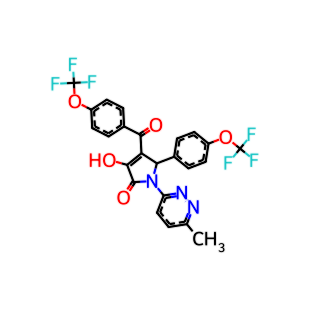 Cc1ccc(N2C(=O)C(O)=C(C(=O)c3ccc(OC(F)(F)F)cc3)C2c2ccc(OC(F)(F)F)cc2)nn1